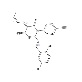 C#Cc1ccc(N2C(=O)/C(=C/C=C\C)C(=N)N=C2/C=C/c2cc(O)ccc2O)cc1